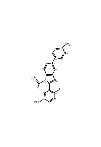 C=C(C)n1c(-c2cc(C(=O)O)ccc2F)nc2cc(-c3cnc(N)nc3)ccc21